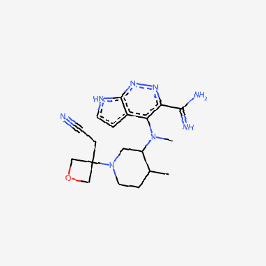 CC1CCN(C2(CC#N)COC2)CC1N(C)c1c(C(=N)N)nnc2[nH]ccc12